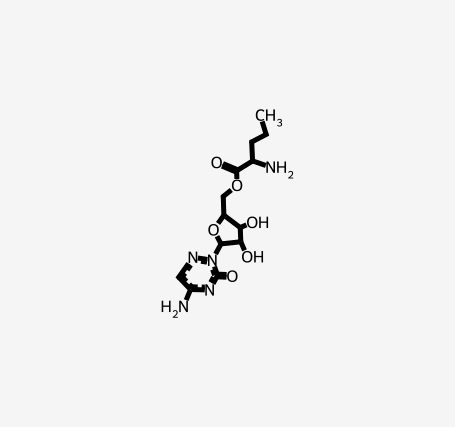 CCCC(N)C(=O)OCC1OC(n2ncc(N)nc2=O)C(O)C1O